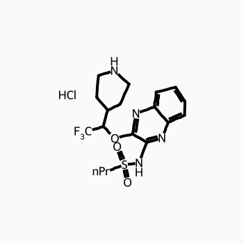 CCCS(=O)(=O)Nc1nc2ccccc2nc1OC(C1CCNCC1)C(F)(F)F.Cl